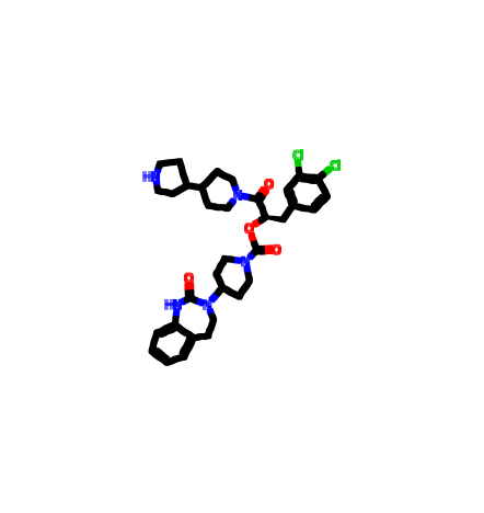 O=C(O[C@H](Cc1ccc(Cl)c(Cl)c1)C(=O)N1CCC(C2CCNCC2)CC1)N1CCC(N2CCc3ccccc3NC2=O)CC1